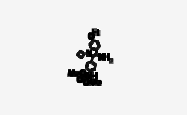 CCOc1ccc2c(N)c(-c3ccc(NP(=O)(OC)OC)cc3)n(C3CCC3)c2c1